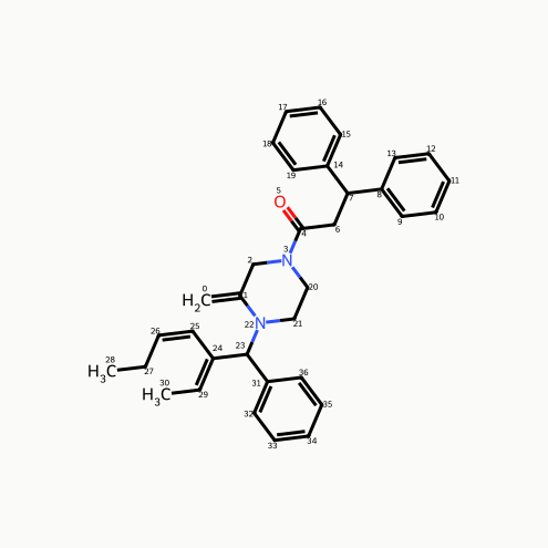 C=C1CN(C(=O)CC(c2ccccc2)c2ccccc2)CCN1C(C(/C=C\CC)=C/C)c1ccccc1